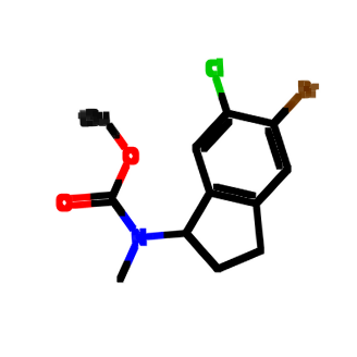 CN(C(=O)OC(C)(C)C)C1CCc2cc(Br)c(Cl)cc21